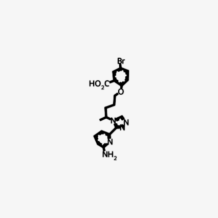 CC(CCCOc1ccc(Br)cc1C(=O)O)n1cnnc1-c1cccc(N)n1